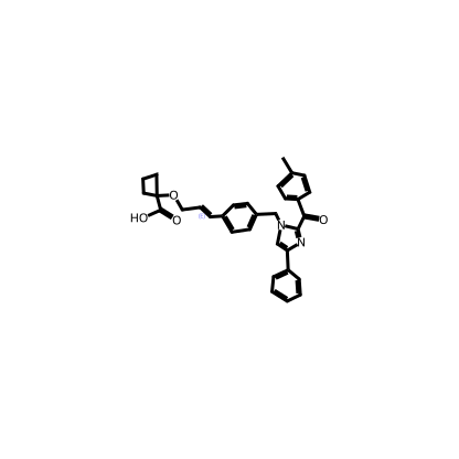 Cc1ccc(C(=O)c2nc(-c3ccccc3)cn2Cc2ccc(/C=C/COC3(C(=O)O)CCC3)cc2)cc1